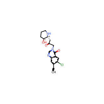 C#Cc1cc2ncn(CC(=O)C[C@H]3NCCC[C@@H]3O)c(=O)c2cc1Cl